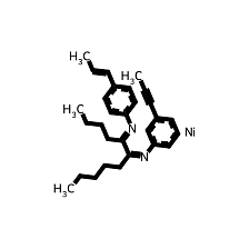 CC#Cc1cccc(N=C(CCCCC)C(CCCC)=Nc2ccc(C=CC)cc2)c1.[Ni]